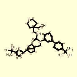 CC(C)(O)c1ccc(-c2cccc(N(CC34CCC(c5noc(C(C)(C)F)n5)(CC3)CC4)C(=O)NCC3(CO)CCOCC3)c2)cc1